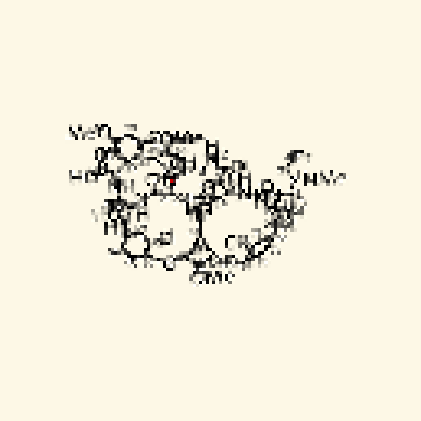 CN[C@@H](CC(C)C)C(=O)N[C@H]1C(=O)N[C@@H](CC(N)=O)C(=O)N[C@H]2C(=O)N[C@H]3C(=O)N[C@H](C(=O)N[C@@H](B(O)O)c4cc(OC)cc(OC)c4C4C(OC)=CC=C3C4C)[C@H](O)c3ccc(c(Cl)c3)Oc3cc2cc(c3OC)Oc2ccc(cc2Cl)[C@H]1O